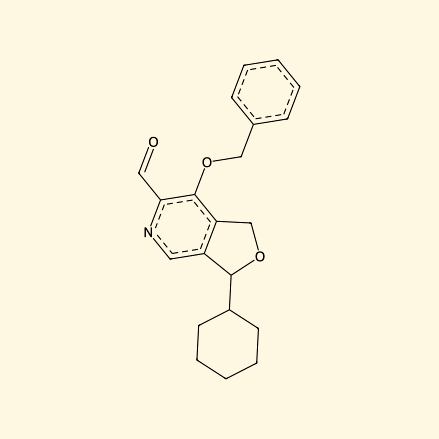 O=Cc1ncc2c(c1OCc1ccccc1)COC2C1CCCCC1